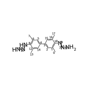 Cc1cc(-c2cc(C)c(NN=N)c(C)c2)cc(C)c1N=NN